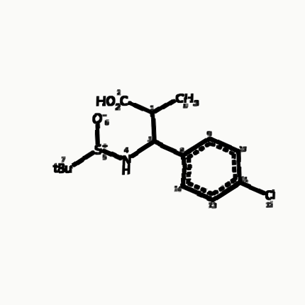 CC(C(=O)O)C(N[S+]([O-])C(C)(C)C)c1ccc(Cl)cc1